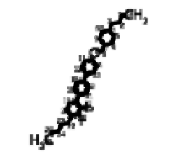 C=CCCC1CCC(COc2ccc(-c3ccc(-c4ccc(CCCCC)c(F)c4F)cc3)cc2)CC1